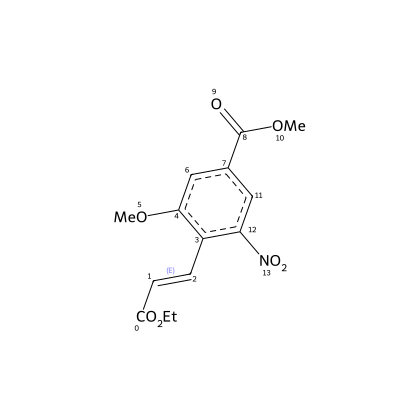 CCOC(=O)/C=C/c1c(OC)cc(C(=O)OC)cc1[N+](=O)[O-]